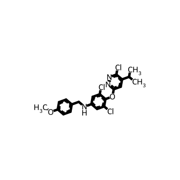 COc1ccc(CNc2cc(Cl)c(Oc3cc(C(C)C)c(Cl)nn3)c(Cl)c2)cc1